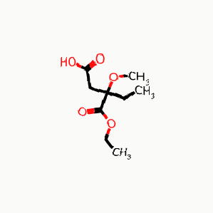 CCOC(=O)C(CC)(CC(=O)O)OC